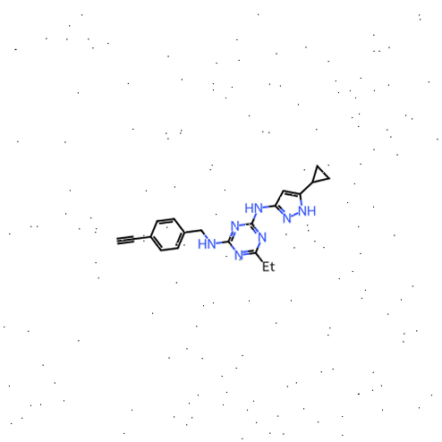 C#Cc1ccc(CNc2nc(CC)nc(Nc3cc(C4CC4)[nH]n3)n2)cc1